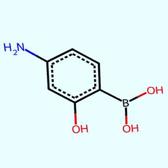 Nc1ccc(B(O)O)c(O)c1